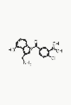 NCc1cn(C(=O)c2ccc(Cl)c(N(O)O)c2)c2cccc(O)c12